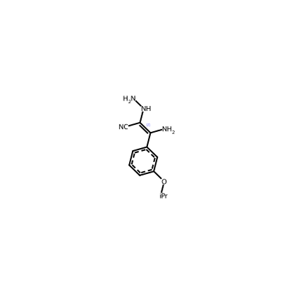 CC(C)Oc1cccc(/C(N)=C(\C#N)NN)c1